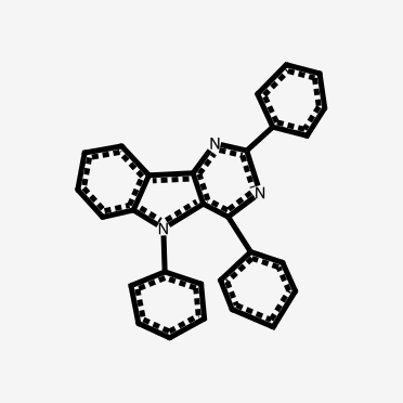 c1ccc(-c2nc(-c3ccccc3)c3c(n2)c2ccccc2n3-c2ccccc2)cc1